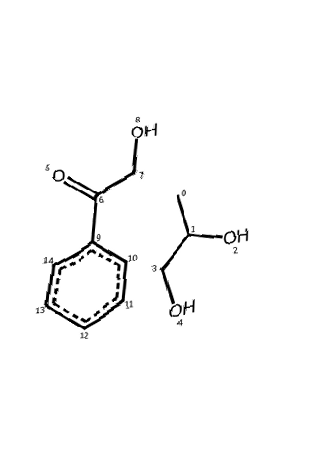 CC(O)CO.O=C(CO)c1ccccc1